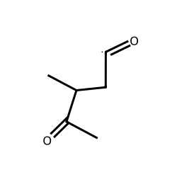 CC(=O)C(C)C[C]=O